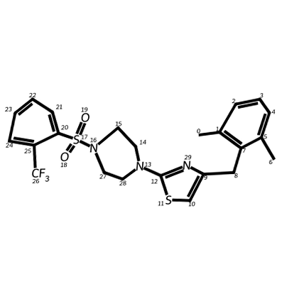 Cc1cccc(C)c1Cc1csc(N2CCN(S(=O)(=O)c3ccccc3C(F)(F)F)CC2)n1